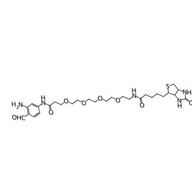 Nc1cc(NC(=O)CCOCCOCCOCCOCCNC(=O)CCCCC2SCC3NC(=O)NC32)ccc1C=O